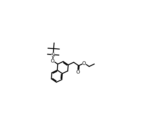 CCOC(=O)CC1=CC(O[Si](C)(C)C(C)(C)C)c2ccccc2C1